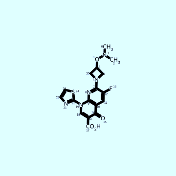 CN(C)OC1CN(c2nc3c(cc2F)c(=O)c(C(=O)O)cn3-c2nccs2)C1